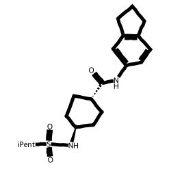 CCCC(C)S(=O)(=O)N[C@H]1CC[C@H](C(=O)Nc2ccc3c(c2)CCC3)CC1